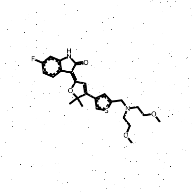 COCCN(CCOC)Cc1cc(C2=C/C(=C3\C(=O)Nc4cc(F)ccc43)OC2(C)C)cs1